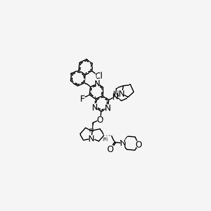 O=C(C[C@@H]1CN2CCC[C@]2(COc2nc(N3CC4CCC(C3)N4)c3cnc(-c4cccc5cccc(Cl)c45)c(F)c3n2)C1)N1CCOCC1